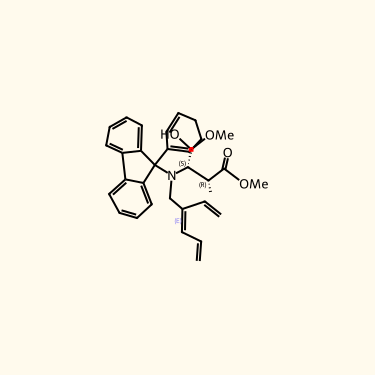 C=C/C=C(\C=C)CN([C@H](C(O)OC)[C@@H](C)C(=O)OC)C1(C2=CCCC=C2)c2ccccc2-c2ccccc21